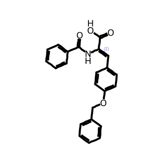 O=C(O)/C(=C/c1ccc(OCc2ccccc2)cc1)NC(=O)c1ccccc1